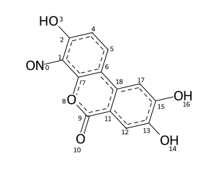 O=Nc1c(O)ccc2c1oc(=O)c1cc(O)c(O)cc12